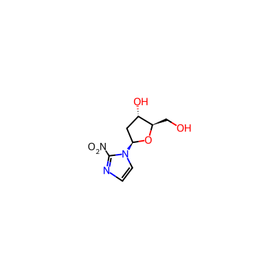 O=[N+]([O-])c1nccn1[C@H]1C[C@H](O)[C@@H](CO)O1